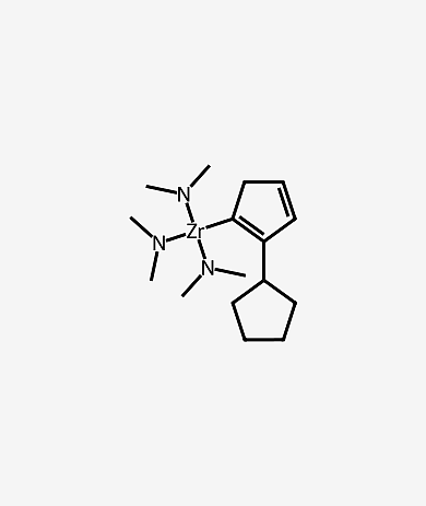 C[N](C)[Zr]([C]1=C(C2CCCC2)C=CC1)([N](C)C)[N](C)C